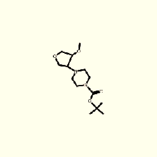 COC1COCC1N1CCN(C(=O)OC(C)(C)C)CC1